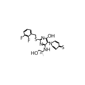 C[C@H](CO)Nc1nc(SCc2cccc(F)c2F)nc(O)c1-n1ccc(=S)cc1